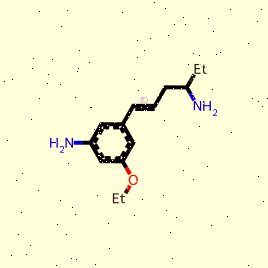 CCOc1cc(N)cc(/C=C/CC(N)CC)c1